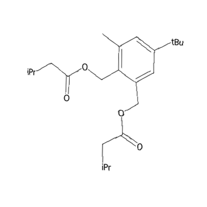 Cc1cc(C(C)(C)C)cc(COC(=O)CC(C)C)c1COC(=O)CC(C)C